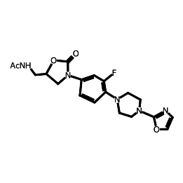 CC(=O)NCC1CN(c2ccc(N3CCN(c4ncco4)CC3)c(F)c2)C(=O)O1